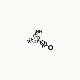 CC12CC3CC(C(=O)OC4N(C(=O)OC(C)(C)C)CC45CNC5)(C1)CC(c1ccccc1)(C3)C2